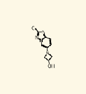 OC1CN(c2ccc3nc(Cl)nn3c2)C1